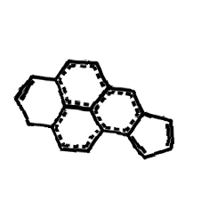 C1=Cc2cc3ccc4c5c(ccc(c2=C1)c35)CC=C4